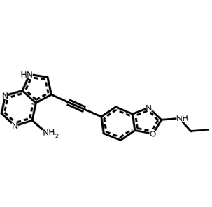 CCNc1nc2cc(C#Cc3c[nH]c4ncnc(N)c34)ccc2o1